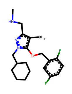 Bc1c(CNC)nn(CC2CCCCC2)c1OCc1cc(F)ccc1F